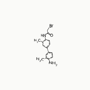 Cc1cc(-c2ccc(NC(=O)CBr)c(C)c2)ccc1N